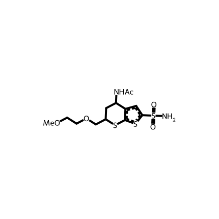 COCCOCC1CC(NC(C)=O)c2cc(S(N)(=O)=O)sc2S1